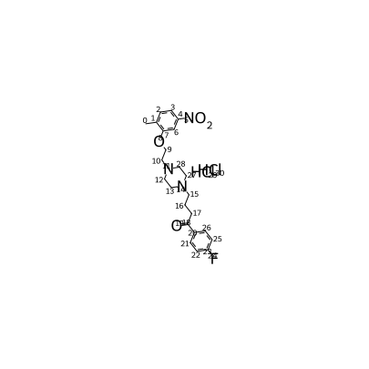 Cc1ccc([N+](=O)[O-])cc1OCCN1CCN(CCCC(=O)c2ccc(F)cc2)CC1.Cl.Cl